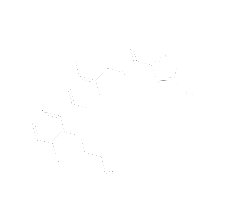 CNCCOc1c(N)ncnc1-c1ccc(CNC(=O)c2noc(C(C)(C)C)n2)c(C)c1